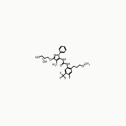 COCCCc1cc(F)c(C(F)(F)F)cc1NC(=O)Nc1c(C)c(OC[C@H](O)CO)nn1-c1ccccc1